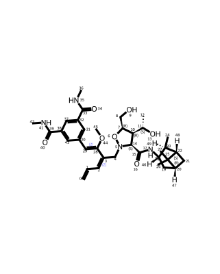 C=C/C=C(CN1O[C@@H](CO)[C@@H]([C@H](C)O)[C@H]1C(=O)N[C@H]1C[C@H]2C[C@@H]([C@@H]1C)C2(C)C)\C(=C\c1cc(C(=O)NC)cc(C(=O)NC)c1)OC